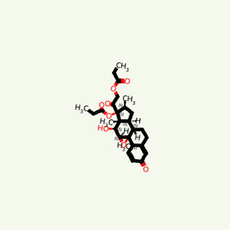 CCC(=O)OCC(=O)[C@]1(OC(=O)CC)[C@@H](C)C[C@H]2[C@@H]3CCC4=CC(=O)C=C[C@]4(C)[C@@]34O[C@H]4[C@@H](O)[C@@]21C